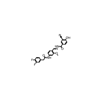 COc1cc(NC(=O)Cc2ccc(F)c(F)c2)ccc1C=NNC(=O)c1ccc(O)c(C#N)c1